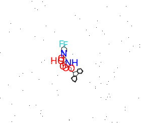 O=C(NC(CC(=O)N1CCC(F)(F)CC1)C(=O)O)OCC1c2ccccc2-c2ccccc21